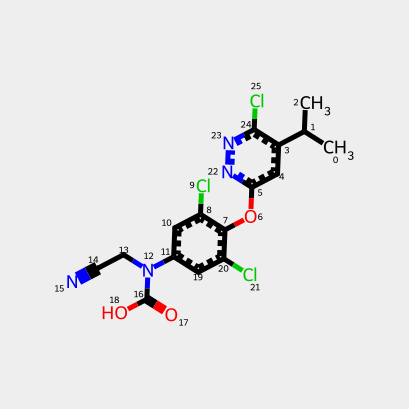 CC(C)c1cc(Oc2c(Cl)cc(N(CC#N)C(=O)O)cc2Cl)nnc1Cl